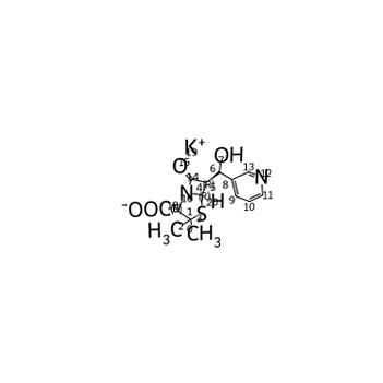 CC1(C)S[C@@H]2[C@H](C(O)c3cccnc3)C(=O)N2[C@H]1C(=O)[O-].[K+]